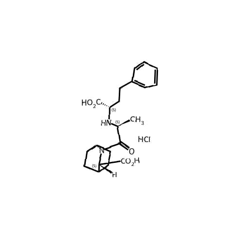 C[C@H](N[C@@H](CCc1ccccc1)C(=O)O)C(=O)N1C2CCC(CC2)[C@H]1C(=O)O.Cl